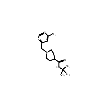 CC(C)(C)NC(=O)C1CCN(Cc2cc(N)ncn2)CC1